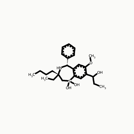 CCCC[C@]1(CC)CS(O)(O)c2cc(C(O)CC)c(OC)cc2[C@@H](c2ccccc2)N1